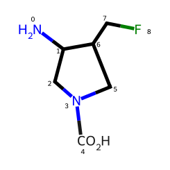 NC1CN(C(=O)O)CC1CF